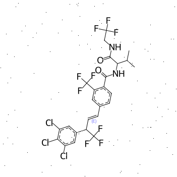 CC(C)C(NC(=O)c1ccc(/C=C/C(c2cc(Cl)c(Cl)c(Cl)c2)C(F)(F)F)cc1C(F)(F)F)C(=O)NCC(F)(F)F